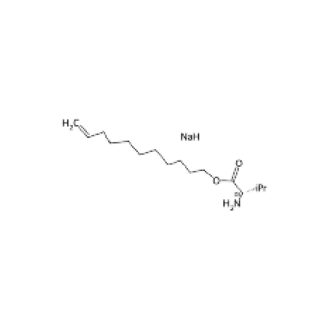 C=CCCCCCCCCCOC(=O)[C@@H](N)C(C)C.[NaH]